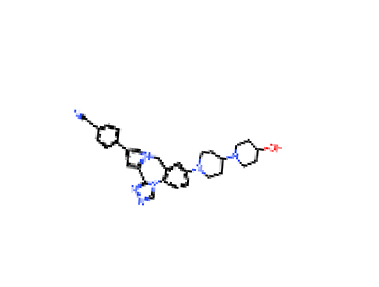 N#Cc1ccc(-c2cc3n(c2)Cc2cc(N4CCC(N5CCC(O)CC5)CC4)ccc2-n2cnnc2-3)cc1